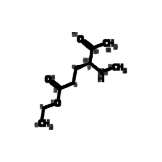 CCOC(=O)CC[C@H](NC)C(C)=O